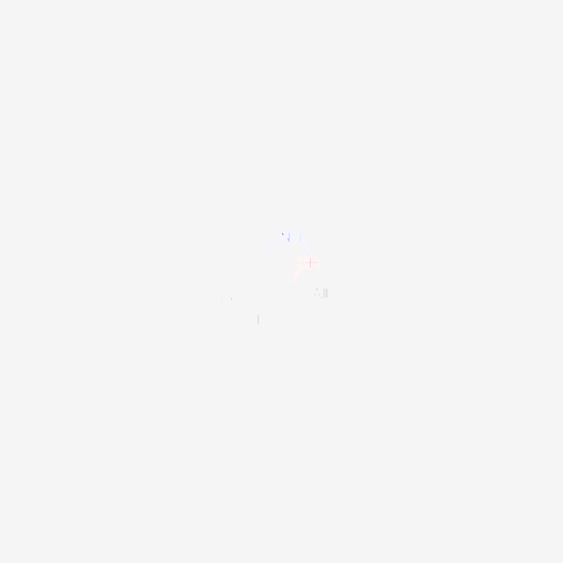 NCC(=O)O.OCl.[AlH3].[CaH2]